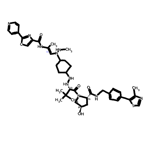 CNN(/C=C(\C)NC(=O)c1coc(-c2ccncc2)n1)C1CCC(BN[C@H](C(=O)N2C[C@H](O)C[C@H]2C(=O)NCc2ccc(-c3scnc3C)cc2)C(C)(C)C)CC1